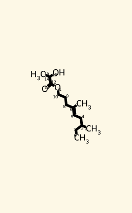 CCC(C)C/C=C(\C)CCCOC(=O)C(C)O